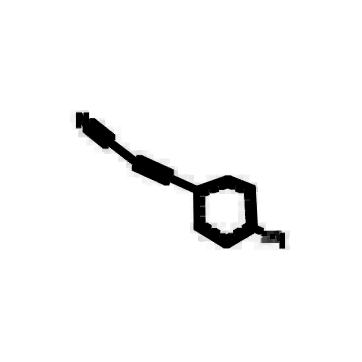 N#CC#Cc1ccc([125I])cc1